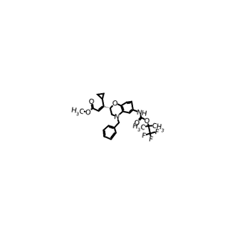 COC(=O)/C=C(\C1CC1)[C@H]1CN(Cc2ccccc2)c2cc(NC(=O)OC(C)(C)C(F)(F)F)ccc2O1